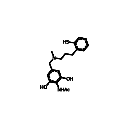 CC(=O)Nc1c(O)cc(CN(C)CCCc2ccccc2S)cc1O